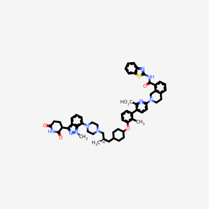 Cc1c(OC2CCC(C[C@@H](C)CN3CCN(c4cccc5c(C6CCC(=O)NC6=O)nn(C)c45)CC3)CC2)cccc1-c1ccc(N2CCc3cccc(C(=O)Nc4nc5ccccc5s4)c3C2)nc1C(=O)O